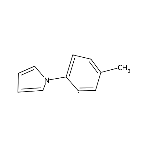 Cc1c[c]c(-n2cccc2)cc1